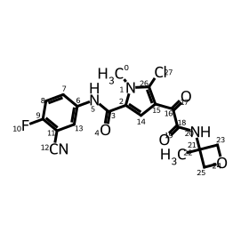 Cn1c(C(=O)Nc2ccc(F)c(C#N)c2)cc(C(=O)C(=O)NC2(C)COC2)c1Cl